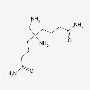 NCC(N)(CCCC(N)=O)CCCC(N)=O